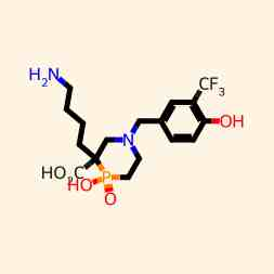 NCCCCC1(C(=O)O)CN(Cc2ccc(O)c(C(F)(F)F)c2)CCP1(=O)O